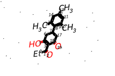 CCC(=O)C1=C(O)CC(c2c(C)cc(C)cc2C)CC1=O